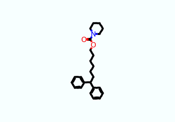 O=C(OCCCCCCC(c1ccccc1)c1ccccc1)N1CCCCC1